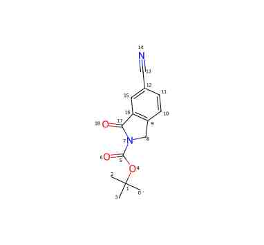 CC(C)(C)OC(=O)N1Cc2ccc(C#N)cc2C1=O